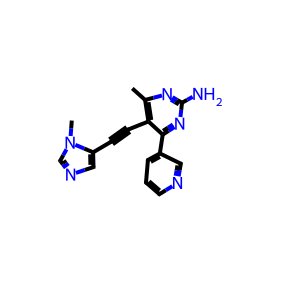 Cc1nc(N)nc(-c2cccnc2)c1C#Cc1cncn1C